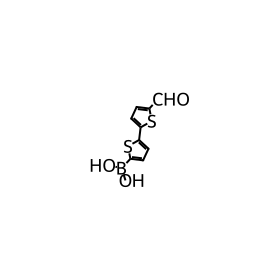 O=Cc1ccc(-c2ccc(B(O)O)s2)s1